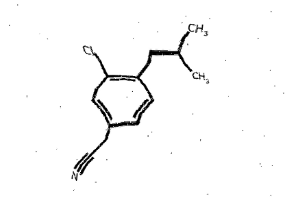 CC(C)Cc1ccc(C#N)cc1Cl